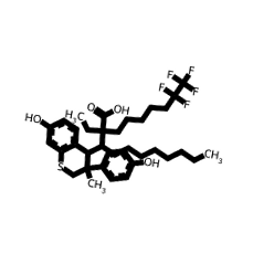 CCCCCCCCC(C1c2ccc(O)cc2SCC1(C)c1ccc(O)cc1)C(CC)(CCCCCC(F)(F)C(F)(F)F)C(=O)O